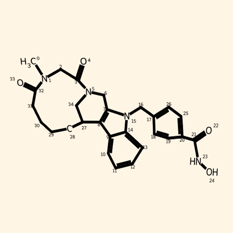 CN1CC(=O)N2Cc3c(c4ccccc4n3Cc3ccc(C(=O)NO)cc3)C(CCCCC1=O)C2